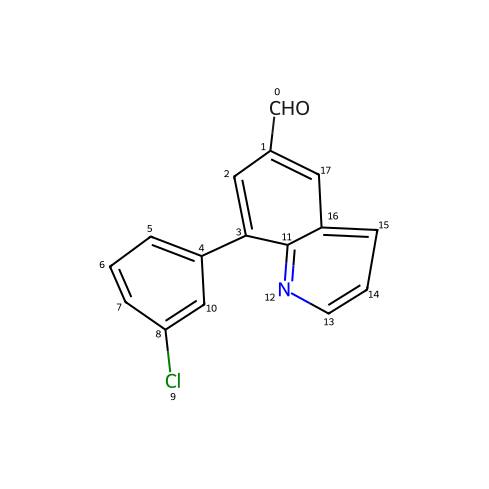 O=Cc1cc(-c2cccc(Cl)c2)c2ncccc2c1